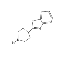 CCN1CCC(c2nc3ccccc3s2)CC1